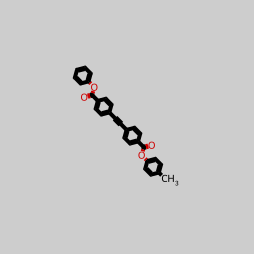 Cc1ccc(OC(=O)c2ccc(C#Cc3ccc(C(=O)Oc4ccccc4)cc3)cc2)cc1